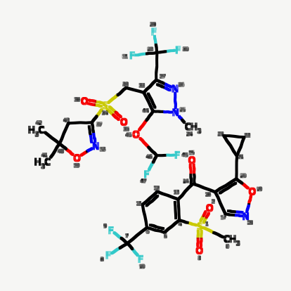 CS(=O)(=O)c1cc(C(F)(F)F)ccc1C(=O)c1cnoc1C1CC1.Cn1nc(C(F)(F)F)c(CS(=O)(=O)C2=NOC(C)(C)C2)c1OC(F)F